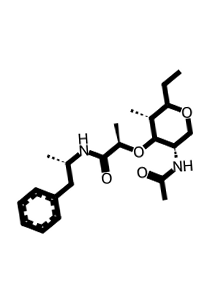 CCC1OC[C@H](NC(C)=O)C(O[C@H](C)C(=O)N[C@@H](C)Cc2ccccc2)[C@@H]1C